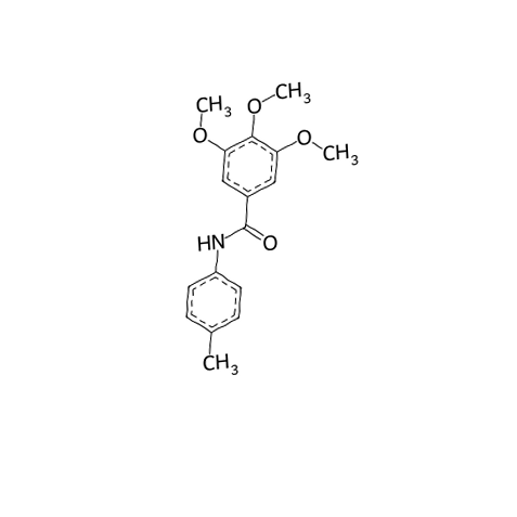 COc1cc(C(=O)Nc2ccc(C)cc2)cc(OC)c1OC